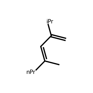 [CH2]CCC(C)=CC(=C)C(C)C